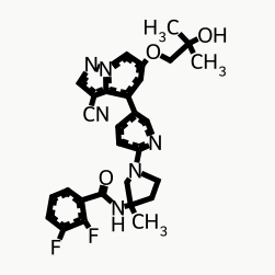 CC(C)(O)COc1cc(-c2ccc(N3CCC(C)(NC(=O)c4cccc(F)c4F)C3)nc2)c2c(C#N)cnn2c1